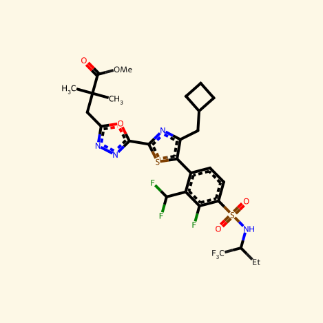 CCC(NS(=O)(=O)c1ccc(-c2sc(-c3nnc(CC(C)(C)C(=O)OC)o3)nc2CC2CCC2)c(C(F)F)c1F)C(F)(F)F